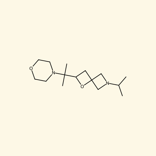 CC(C)N1CC2(CC(C(C)(C)N3CCOCC3)O2)C1